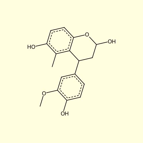 COc1cc(C2CC(O)Oc3ccc(O)c(C)c32)ccc1O